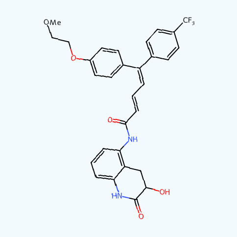 COCCOc1ccc(/C(=C\C=C\C(=O)Nc2cccc3c2CC(O)C(=O)N3)c2ccc(C(F)(F)F)cc2)cc1